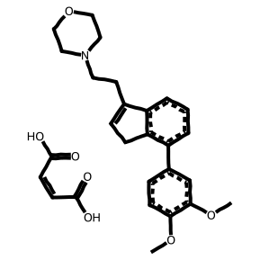 COc1ccc(-c2cccc3c2CC=C3CCN2CCOCC2)cc1OC.O=C(O)/C=C\C(=O)O